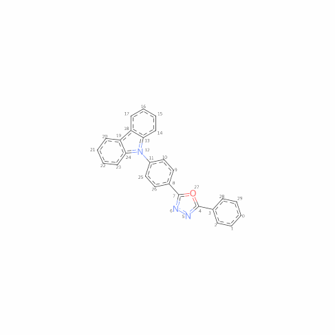 c1ccc(-c2nnc(-c3ccc(-n4c5ccccc5c5ccccc54)cc3)o2)cc1